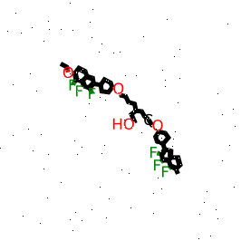 CCOc1ccc2cc(C3CCC(OCCCCC(CCO)CCCCOC4CCC(c5cc6ccc(C)c(F)c6c(F)c5F)CC4)CC3)c(F)c(F)c2c1F